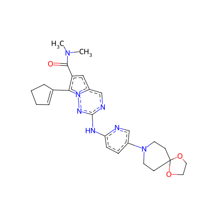 CN(C)C(=O)c1cc2cnc(Nc3ccc(N4CCC5(CC4)OCCO5)cn3)nn2c1C1=CCCC1